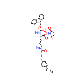 Cc1ccc(CCCC(=O)NCCCC[C@H](NC(=O)OCC2c3ccccc3-c3ccccc32)C(=O)ON2C(=O)CCC2=O)cc1